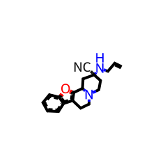 C=CCNC1(C#N)CCN2CCc3c(oc4ccccc34)C2C1